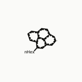 CCCCCCc1cc2c[c]cc3ccc4cccc1c4c32